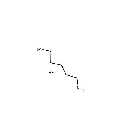 CC(C)CCCCCN.F